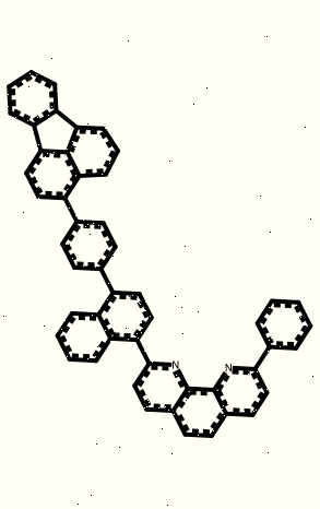 c1ccc(-c2ccc3ccc4ccc(-c5ccc(-c6ccc(-c7ccc8c9c(cccc79)-c7ccccc7-8)cc6)c6ccccc56)nc4c3n2)cc1